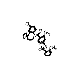 Cc1ccccc1C(=O)Nc1cc(C)c(C(=O)N2CCCC3(CCO3)c3cc(Cl)ccc32)cn1